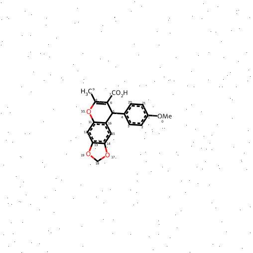 COc1ccc(C2C(C(=O)O)=C(C)Oc3cc4c(cc32)OCO4)cc1